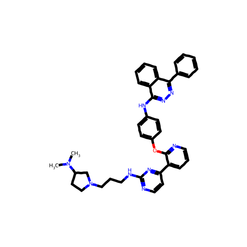 CN(C)C1CCN(CCCNc2nccc(-c3cccnc3Oc3ccc(Nc4nnc(-c5ccccc5)c5ccccc45)cc3)n2)C1